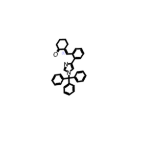 O=C1CCCC/C1=C\c1ccccc1-c1cn(C(c2ccccc2)(c2ccccc2)c2ccccc2)cn1